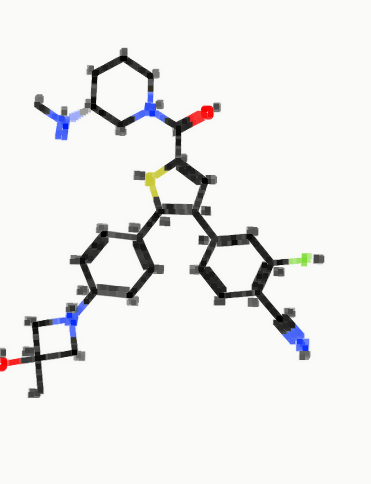 CN[C@@H]1CCCN(C(=O)c2cc(-c3ccc(C#N)c(F)c3)c(-c3ccc(N4CC(C)(O)C4)cc3)s2)C1